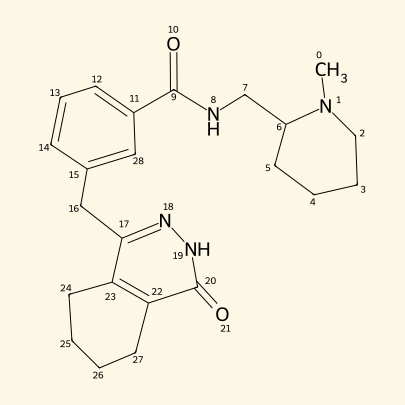 CN1CCCCC1CNC(=O)c1cccc(Cc2n[nH]c(=O)c3c2CCCC3)c1